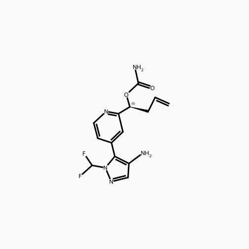 C=CC[C@H](OC(N)=O)c1cc(-c2c(N)cnn2C(F)F)ccn1